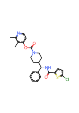 Cc1nccc(OC(=O)N2CCC([C@H](NC(=O)c3ccc(Cl)s3)c3ccccc3)CC2)c1C